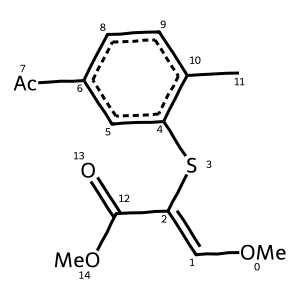 CO/C=C(\Sc1cc(C(C)=O)ccc1C)C(=O)OC